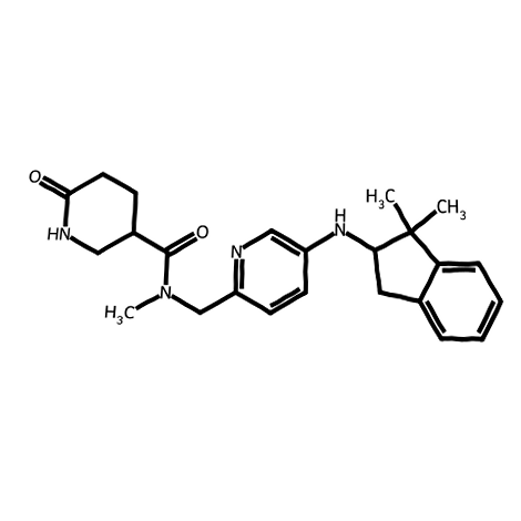 CN(Cc1ccc(NC2Cc3ccccc3C2(C)C)cn1)C(=O)C1CCC(=O)NC1